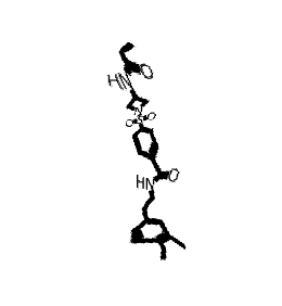 C=CC(=O)NC1CN(S(=O)(=O)c2ccc(C(=O)NCCc3ccc(C)c(C)c3)cc2)C1